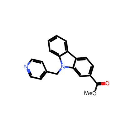 COC(=O)c1ccc2c3ccccc3n(Cc3ccncc3)c2c1